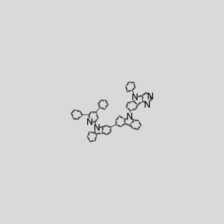 c1ccc(-c2cc(-c3ccccc3)nc(-n3c4ccccc4c4ccc(-c5ccc6c(c5)c5ccccc5n6-c5ccc6c(c5)c5ncncc5n6-c5ccccc5)cc43)c2)cc1